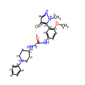 COc1ccc(NC(=O)CNC2CCN(c3ccccc3)CC2)cc1-c1c(Cl)cnn1C